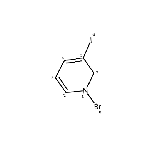 BrN1C=CC=C(I)C1